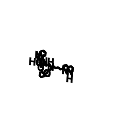 O=C(O)C(CCN(CCCCc1ccc2c(n1)NCCC2)CCOc1ccccc1)Nc1ncnc2ccccc12